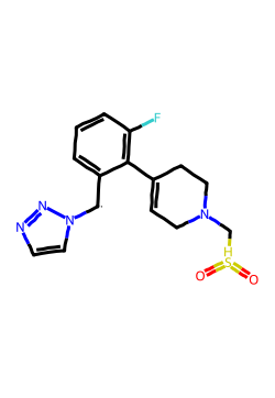 O=[SH](=O)CN1CC=C(c2c(F)cccc2[CH]n2ccnn2)CC1